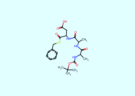 CC(NC(=O)OC(C)(C)C)C(=O)NC(C)C(=O)NC(CC(=O)O)C(=O)SCc1ccccc1